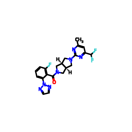 Cc1cc(C(F)F)nc(N2C[C@H]3CN(C(=O)c4c(F)cccc4-n4nccn4)C[C@H]3C2)n1